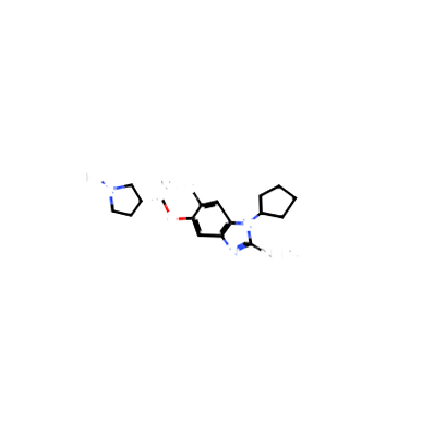 CCN1CC[C@@H](COc2cc3nc(NC(C)=O)n(C4CCCC4)c3cc2OC)C1